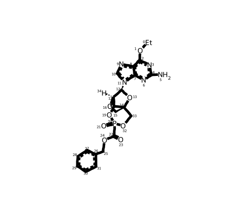 CCOc1nc(N)nc2c1ncn2[C@@H]1O[C@@]23CO[C@@H]1[C@@H]2OP(=O)(C(=O)OCc1ccccc1)OC3